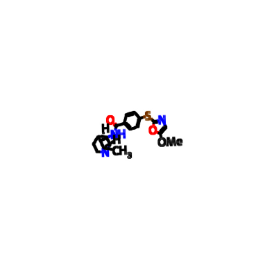 COc1cnc(Sc2ccc(C(=O)N[C@@H]3C4CCN(CC4)[C@H]3C)cc2)o1